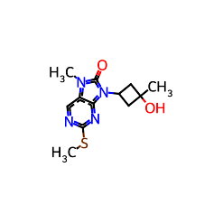 CSc1ncc2c(n1)n(C1CC(C)(O)C1)c(=O)n2C